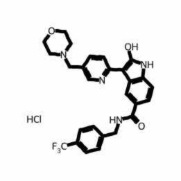 Cl.O=C(NCc1ccc(C(F)(F)F)cc1)c1ccc2[nH]c(O)c(-c3ccc(CN4CCOCC4)cn3)c2c1